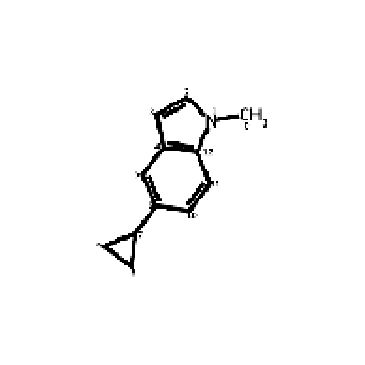 Cn1ccc2cc(C3CC3)ccc21